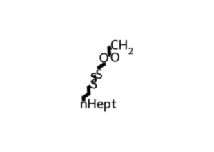 C=CC(=O)OCCSSSCCCCCCCCCC